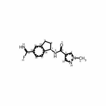 Cn1cc(C(=O)N[C@@H]2CCc3cc(C(=N)F)ccc32)cn1